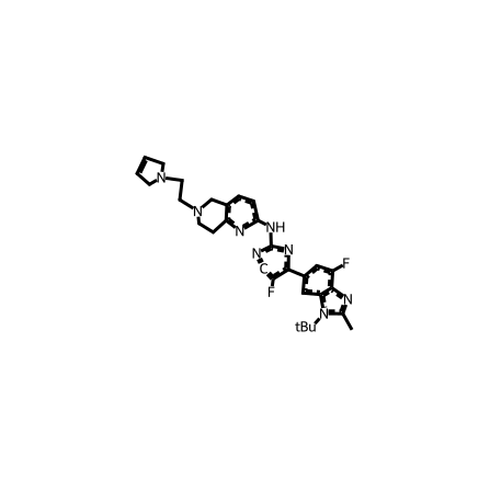 Cc1nc2c(F)cc(-c3nc(Nc4ccc5c(n4)CCN(CCN4CC=CC4)C5)ncc3F)cc2n1C(C)(C)C